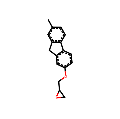 Cc1ccc2c(c1)Cc1cc(OCC3CO3)ccc1-2